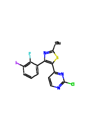 CC(C)(C)c1nc(-c2cccc(I)c2F)c(-c2ccnc(Cl)n2)s1